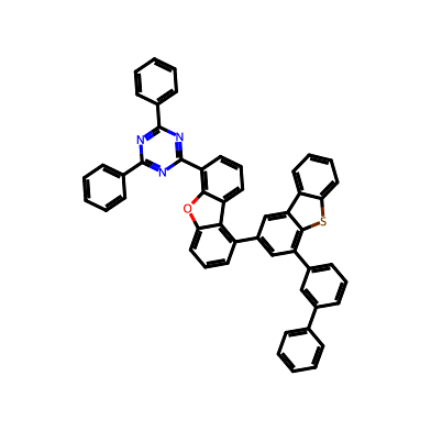 c1ccc(-c2cccc(-c3cc(-c4cccc5oc6c(-c7nc(-c8ccccc8)nc(-c8ccccc8)n7)cccc6c45)cc4c3sc3ccccc34)c2)cc1